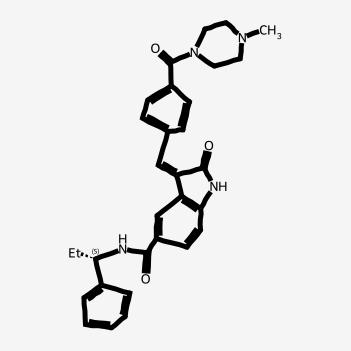 CC[C@H](NC(=O)c1ccc2c(c1)C(=Cc1ccc(C(=O)N3CCN(C)CC3)cc1)C(=O)N2)c1ccccc1